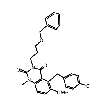 COc1ccc2c(c1Cc1ccc(Cl)cc1)c(=O)n(CCCOCc1ccccc1)c(=O)n2C